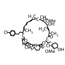 CO[C@@H]1C[C@H](C[C@@H](C)[C@@H]2CC(=O)[C@H](C)/C=C(\C)[C@@H](O)[C@@H](OC)C(=O)[C@H](C)C[C@H](C)/C=C/C=C/C=C(\C)C(CCc3ccc(Cl)cc3)C[C@@H]3CC[C@@H](C)[C@@](O)(O3)C(=O)C(=O)N3CCCC[C@H]3C(=O)O2)CC[C@H]1O